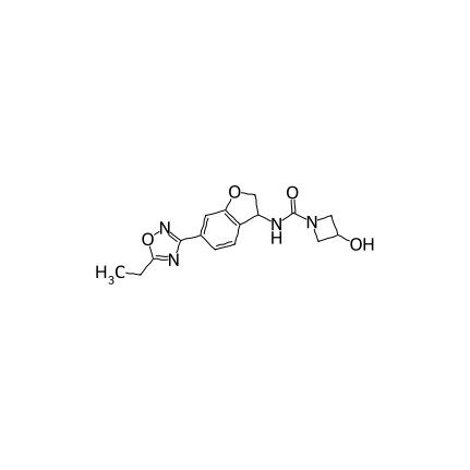 CCc1nc(-c2ccc3c(c2)OCC3NC(=O)N2CC(O)C2)no1